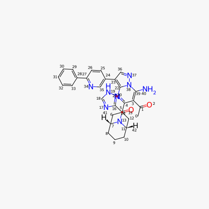 CC(=O)c1c(C2C[C@H]3CCC[C@@H](C2)N3C(=O)c2nc[nH]n2)nc2c(-c3ccc(-c4ccccc4)nc3)cnn2c1N